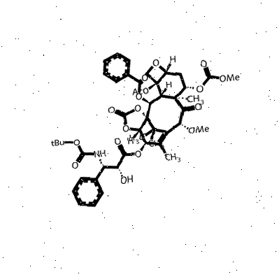 COC(=O)O[C@H]1C[C@H]2OC[C@@]2(OC(C)=O)[C@H]2[C@H](OC(=O)c3ccccc3)[C@]34OC(=O)O[C@H]3[C@H](OC(=O)[C@H](O)[C@@H](NC(=O)OC(C)(C)C)c3ccccc3)C(C)=C([C@@H](OC)C(=O)[C@]12C)C4(C)C